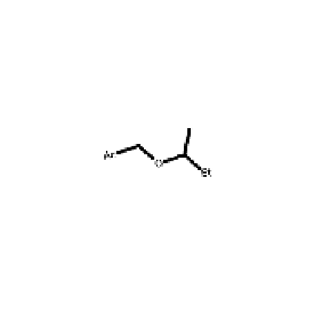 CCC(C)OCC(C)=O